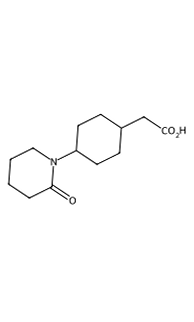 O=C(O)CC1CCC(N2CCCCC2=O)CC1